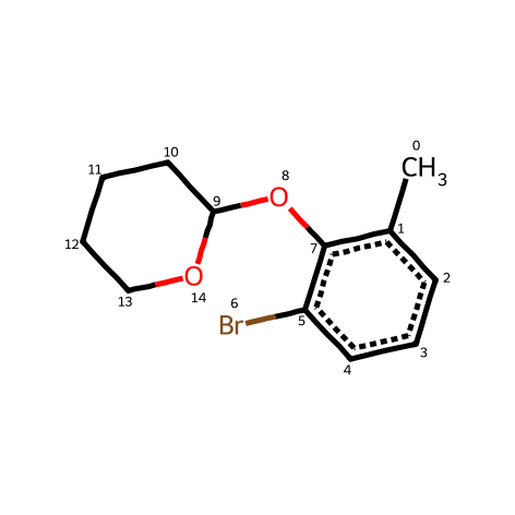 Cc1cccc(Br)c1OC1CCCCO1